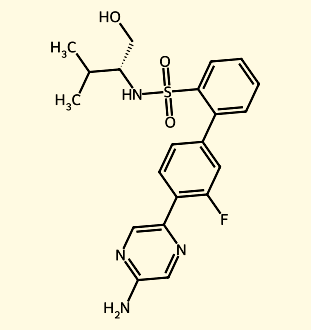 CC(C)[C@H](CO)NS(=O)(=O)c1ccccc1-c1ccc(-c2cnc(N)cn2)c(F)c1